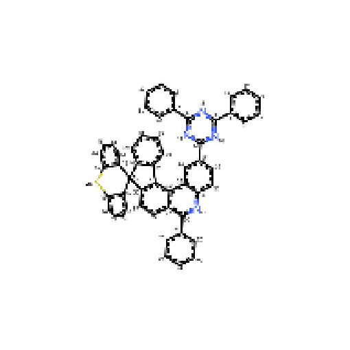 c1ccc(-c2nc(-c3ccccc3)nc(-c3ccc4nc(-c5ccccc5)c5ccc6c(c5c4c3)-c3ccccc3C63c4ccccc4Sc4ccccc43)n2)cc1